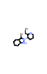 CC(=O)c1c2ccccc2[nH][n+]1-c1cccnc1CC(C)C